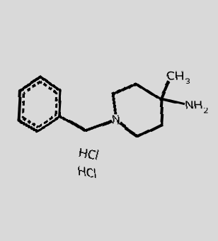 CC1(N)CCN(Cc2ccccc2)CC1.Cl.Cl